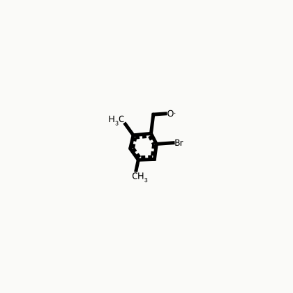 Cc1cc(C)c(C[O])c(Br)c1